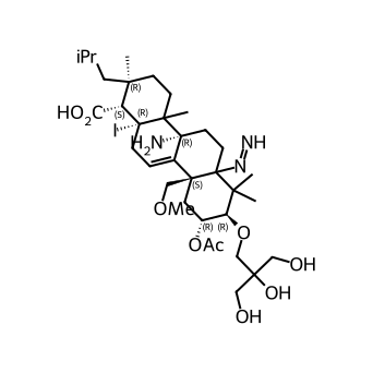 COC[C@]12C[C@@H](OC(C)=O)[C@H](OCC(O)(CO)CO)C(C)(C)C1(N=N)CC[C@@]1(N)C2=CC[C@@]2(I)[C@H](C(=O)O)[C@@](C)(CC(C)C)CCC12C